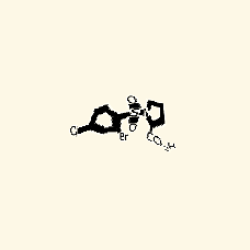 O=C(O)[C@@H]1CCCN1S(=O)(=O)c1ccc(Cl)cc1Br